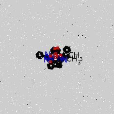 CC1(C)c2ccccc2-c2c(-c3ccccc3)nc(-c3cccc4c3C3(c5ccccc5Oc5ccccc53)c3c(-c5nc(-c6ccccc6)nc(-c6ccccc6)n5)cccc3-4)nc21